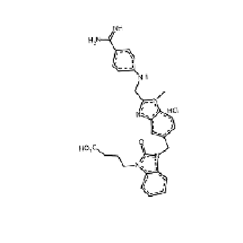 Cl.Cn1c(CNc2ccc(C(=N)N)cc2)nc2cc(Cn3c(=O)n(CCCC(=O)O)c4ccccc43)ccc21